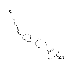 FCCC/C=C/[C@H]1CC[C@H](C2CCC(c3ccc(Cl)cc3)CC2)CC1